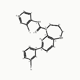 O=C(Nc1ccncc1F)N1CCCNc2ccc(-c3cccc(F)c3)nc21